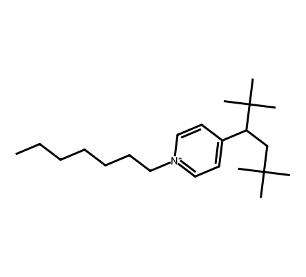 CCCCCCC[n+]1ccc(C(CC(C)(C)C)C(C)(C)C)cc1